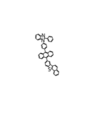 c1ccc(-c2nc3ccccc3n2-c2ccc(-c3c4ccccc4c(-c4ccc5sc6c7ccccc7ccc6c5c4)c4ccccc34)cc2)cc1